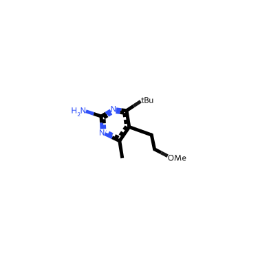 COCCc1c(C)nc(N)nc1C(C)(C)C